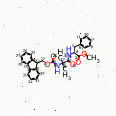 COC(=O)[C@H](Cc1ccccc1)NC(=O)C(C)(C)NC(=O)OCC1c2ccccc2-c2ccccc21